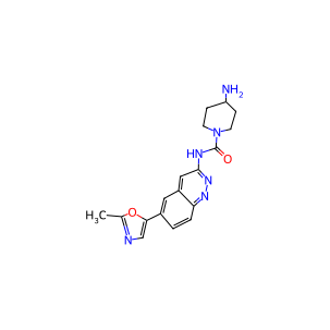 Cc1ncc(-c2ccc3nnc(NC(=O)N4CCC(N)CC4)cc3c2)o1